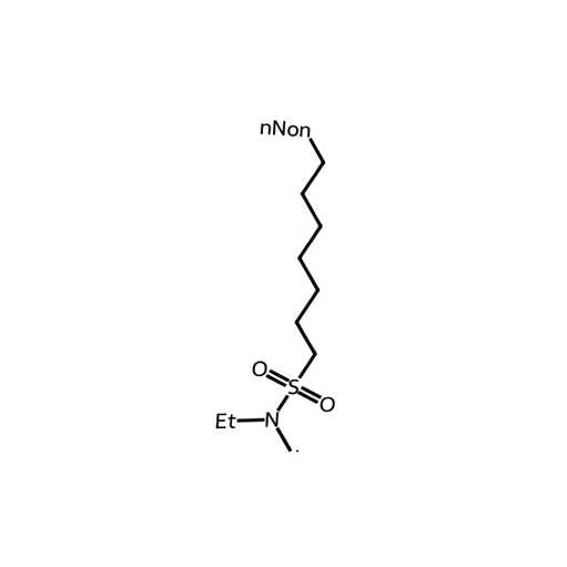 [CH2]N(CC)S(=O)(=O)CCCCCCCCCCCCCCCC